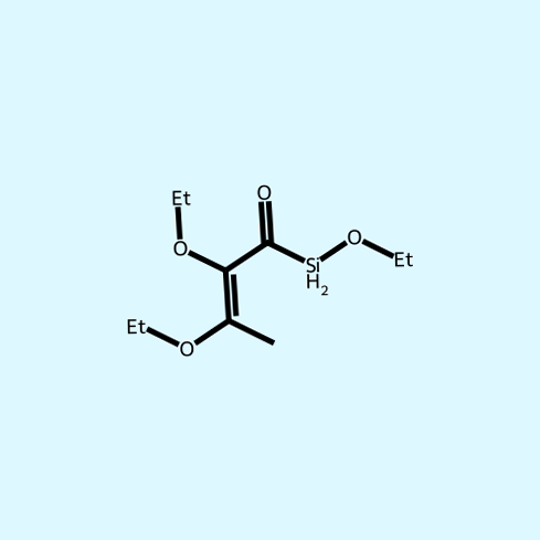 CCO[SiH2]C(=O)/C(OCC)=C(\C)OCC